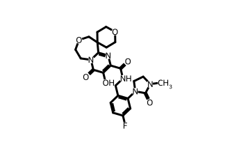 CN1CCN(c2cc(F)ccc2CNC(=O)c2nc3n(c(=O)c2O)CCOCC32CCOCC2)C1=O